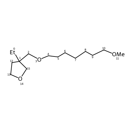 CCC1(COCCCCCCCOC)CCOC1